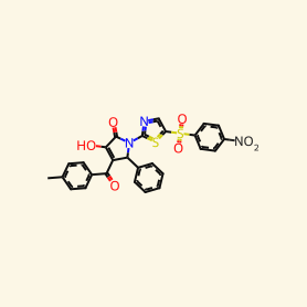 Cc1ccc(C(=O)C2=C(O)C(=O)N(c3ncc(S(=O)(=O)c4ccc([N+](=O)[O-])cc4)s3)C2c2ccccc2)cc1